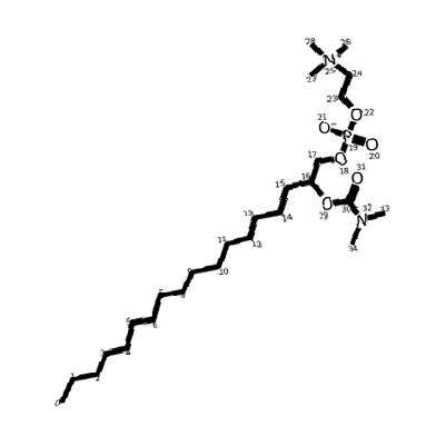 CCCCCCCCCCCCCCCCC(COP(=O)([O-])OCC[N+](C)(C)C)OC(=O)N(C)C